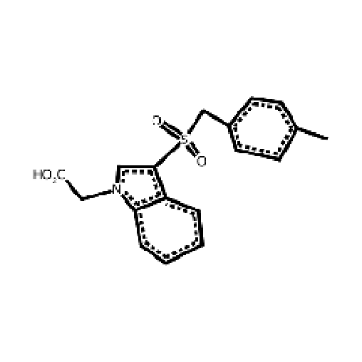 Cc1ccc(CS(=O)(=O)c2cn(CC(=O)O)c3ccccc23)cc1